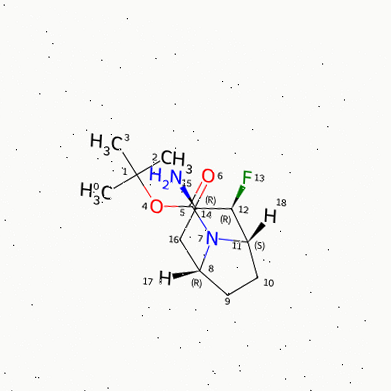 CC(C)(C)OC(=O)N1[C@@H]2CC[C@H]1[C@H](F)[C@H](N)C2